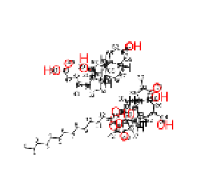 CCCCCCCCCCCCCC(=O)O[C@@H]1[C@@H](C)[C@@]2(O)[C@@H](C=C(CO)C[C@]3(O)C(=O)C(C)=C[C@@H]23)[C@@H]2C(C)(C)[C@]12OC(C)=O.C[C@H](CCC(=O)O)[C@H]1CC[C@H]2[C@@H]3CC[C@@H]4C[C@H](O)CC[C@]4(C)[C@H]3C[C@H](O)[C@]12C